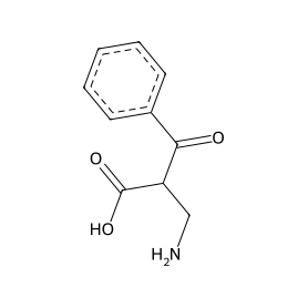 NCC(C(=O)O)C(=O)c1ccccc1